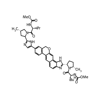 CCC(C)[C@H](NC(=O)OC)C(=O)N1[C@@H](C)CC[C@H]1c1nc2ccc3cc4c(cc3c2[nH]1)OCc1cc(-c2cnc(C3C[C@H](C)CN3C(=O)[C@@H](NC(=O)OC)C(C)C)[nH]2)ccc1-4